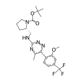 COc1cc(C(F)(F)F)ccc1-c1nnc(NC[C@@H]2CCCN2C(=O)OC(C)(C)C)nc1C